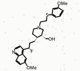 COc1cccc(SCCN2CC[C@@H](CC[C@H](F)c3ccnc4ccc(OC)cc34)[C@@H](CO)C2)c1